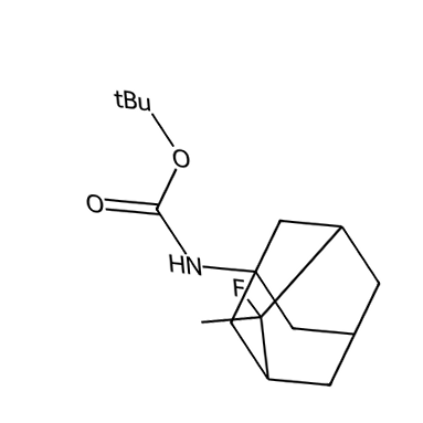 CC(C)(C)OC(=O)NC12CC3CC(C1)C(C)(F)C(C3)C2